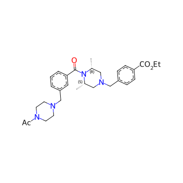 CCOC(=O)c1ccc(CN2C[C@@H](C)N(C(=O)c3cccc(CN4CCN(C(C)=O)CC4)c3)[C@@H](C)C2)cc1